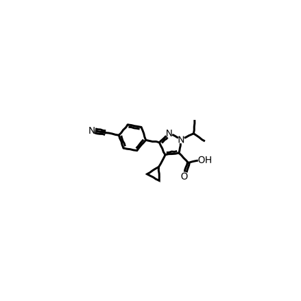 CC(C)n1nc(-c2ccc(C#N)cc2)c(C2CC2)c1C(=O)O